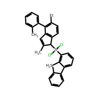 CCc1ccc2c(c1-c1ccccc1C)C=C(C)[CH]2[Zr]([Cl])([Cl])[c]1cccc2c1[SiH2]c1ccccc1-2